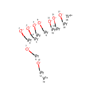 CC(C)[O-].CC(C)[O-].CC(C)[O-].CC(C)[O-].CC(C)[O-].CC(C)[O-].CC(C)[O-].CC(C)[O-].CC(C)[O-].[Ti+4].[V+5]